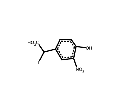 O=C(O)C(I)c1ccc(O)c([N+](=O)[O-])c1